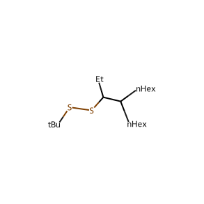 CCCCCCC(CCCCCC)C(CC)SSC(C)(C)C